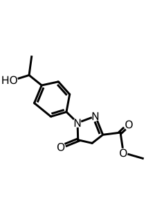 COC(=O)C1=NN(c2ccc(C(C)O)cc2)C(=O)C1